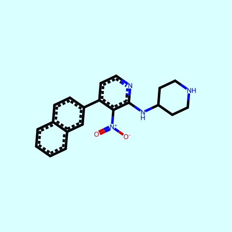 O=[N+]([O-])c1c(-c2ccc3ccccc3c2)ccnc1NC1CCNCC1